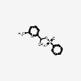 Cc1cccc(C(C)OS(=O)(=O)c2ccccc2)n1